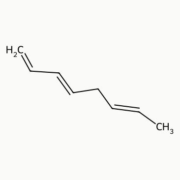 C=C/C=C/C/C=C/C